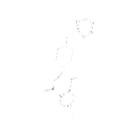 Cc1nc2c(s1)C(=O)C=C(N1CCN(Cc3ccccc3)CC1)C2=O